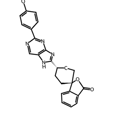 COc1ccc(-c2ncc3[nH]c([C@H]4CC[C@@]5(CC4)OC(=O)c4ccccc45)nc3n2)cc1